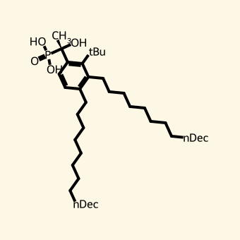 CCCCCCCCCCCCCCCCCCc1ccc([C@@](C)(O)P(=O)(O)O)c(C(C)(C)C)c1CCCCCCCCCCCCCCCCCC